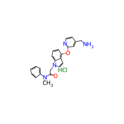 CN(C(=O)Cn1ccc2c(Oc3cc(CN)ccn3)cccc21)c1ccccc1.Cl